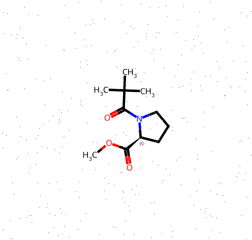 COC(=O)[C@@H]1CCCN1C(=O)C(C)(C)C